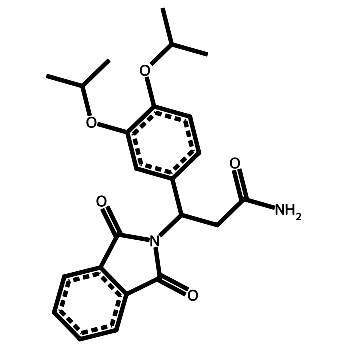 CC(C)Oc1ccc(C(CC(N)=O)N2C(=O)c3ccccc3C2=O)cc1OC(C)C